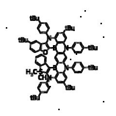 CC(C)(C)c1ccc(N2C3=C(B4c5cc6c(cc5N(c5ccc(C(C)(C)C)cc5)c5cc(C(C)(C)C)cc2c54)N(c2ccc(C(C)(C)C)cc2)c2cc(C(C)(C)C)cc4c2B6c2oc5ccc(C(C)(C)C)cc5c2N4c2ccc(C(C)(C)C)cc2)c2ccccc2S3(C)C)cc1